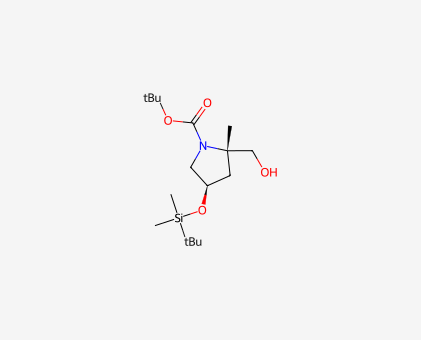 CC(C)(C)OC(=O)N1C[C@H](O[Si](C)(C)C(C)(C)C)C[C@@]1(C)CO